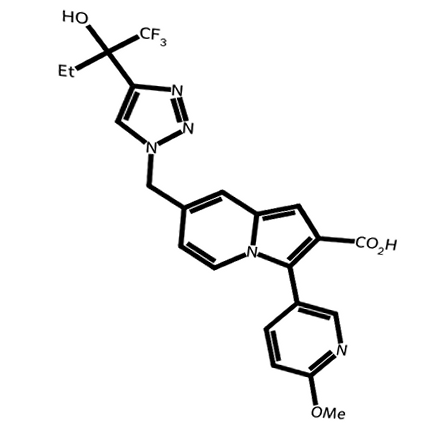 CCC(O)(c1cn(Cc2ccn3c(-c4ccc(OC)nc4)c(C(=O)O)cc3c2)nn1)C(F)(F)F